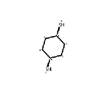 S[C@H]1CC[C@@H](S)CC1